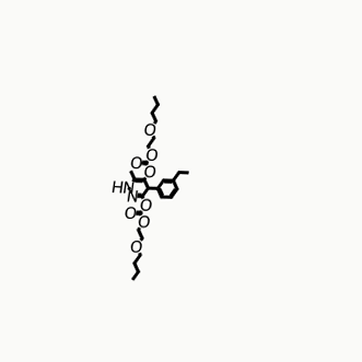 CCCCOCCOC(=O)OC1=NNC(C)=C(OC(=O)OCCOCCCC)C1c1cccc(CC)c1